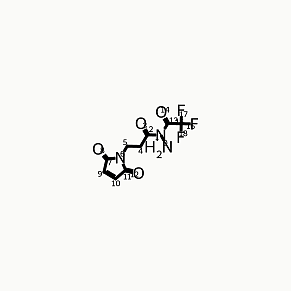 NN(C(=O)CCN1C(=O)C=CC1=O)C(=O)C(F)(F)F